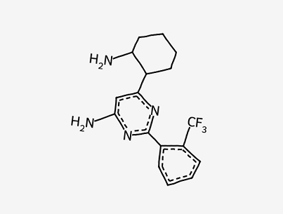 Nc1cc(C2CCCCC2N)nc(-c2ccccc2C(F)(F)F)n1